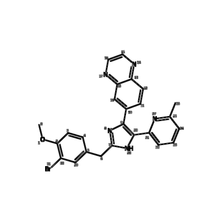 COc1ccc(Cc2nc(-c3ccc4nccnc4c3)c(-c3cccc(C)n3)[nH]2)cc1Br